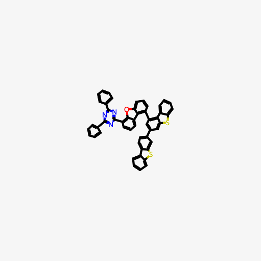 c1ccc(-c2nc(-c3ccccc3)nc(-c3cccc4c3oc3cccc(-c5cc(-c6ccc7c(c6)sc6ccccc67)cc6sc7ccccc7c56)c34)n2)cc1